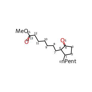 CCCCCC1CCC(=O)C1CCCCCCC(=O)OC